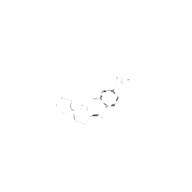 Cc1cc([N+](=O)[O-])ccc1/N=C1/CCC2(CCCC2)N1